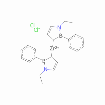 CCN1C=C[CH]([Zr+2][CH]2C=CN(CC)B2c2ccccc2)B1c1ccccc1.[Cl-].[Cl-]